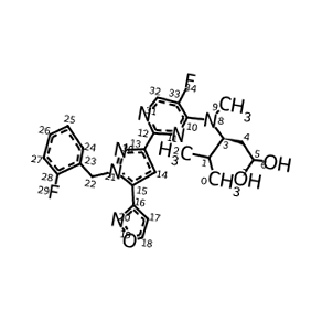 CC(C)[C@H](CC(O)O)N(C)c1nc(-c2cc(-c3ccon3)n(Cc3ccccc3F)n2)ncc1F